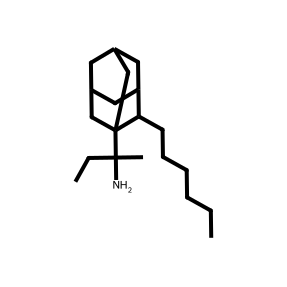 CCCCCCC1C2CC3CC(C2)CC1(C(C)(N)CC)C3